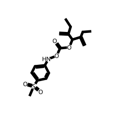 C=C(CC)C(OC(=O)ONc1ccc(S(C)(=O)=O)cc1)C(=C)CC